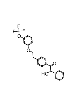 O=C(c1ccc(CCOc2cccc(OC(F)(F)F)c2)cc1)C(O)c1ccccc1